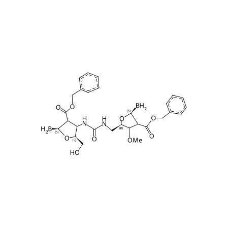 B[C@@H]1O[C@H](CO)C(NC(=O)NC[C@H]2O[C@@H](B)C(C(=O)OCc3ccccc3)C2OC)C1C(=O)OCc1ccccc1